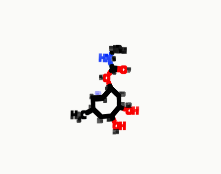 CC1/C=C/C(OC(=O)NC(C)(C)C)CC(O)C(O)C1